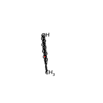 CCCCCCCCCCCCOC=COC=COC=COC=COC=COC=COC=COC=CO